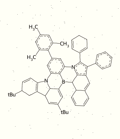 Cc1cc(C)c(-c2cc3c4c(c2)-n2c(C5=CCCC=C5)c(-c5ccccc5)c5c2C(B4C2=CC(C(C)(C)C)=CC4C6=C(C=CC(C(C)(C)C)C6)N3C24)C2C=CC=CC2=C5)c(C)c1